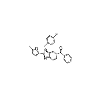 Cc1ccc(-c2nc3ccc(C(=O)c4ccccc4)cc3n2Cc2ccc(F)cc2)o1